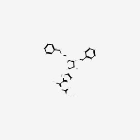 CSC(=N)/N=C(/N)c1ncc([C@@H]2O[C@H](COCc3ccccc3)[C@@H](OCc3ccccc3)[C@H]2F)[nH]1